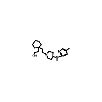 Cc1ccc(NC2CCN(CCC3(CCO)CCCCC3)CC2)nc1